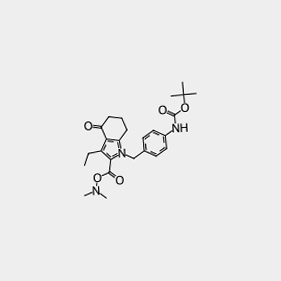 CCc1c2c(n(Cc3ccc(NC(=O)OC(C)(C)C)cc3)c1C(=O)ON(C)C)CCCC2=O